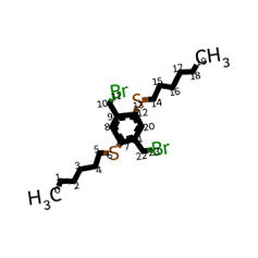 CCCCCCSc1cc(CBr)c(SCCCCCC)cc1CBr